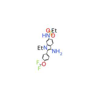 CCn1c(-c2ccc(OC(F)F)cc2)c(N)c2ccc(NS(=O)(=O)CC)cc21